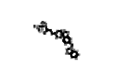 CC(C)(C)OC(=O)CCN1CCC2(CC1)COc1cc(O[C@@H]3CCc4ccccc43)ccc12